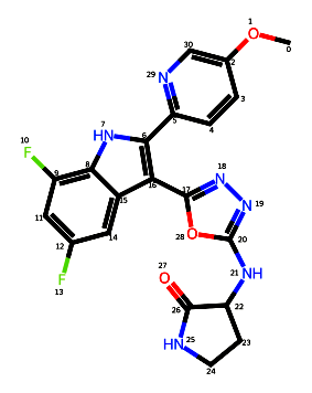 COc1ccc(-c2[nH]c3c(F)cc(F)cc3c2-c2nnc(NC3CCNC3=O)o2)nc1